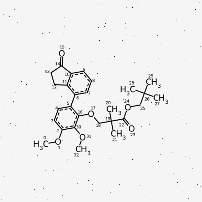 COc1ccc(-c2cccc3c2CCC3=O)c(OCC(C)(C)C(=O)OCC(C)(C)C)c1OC